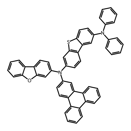 c1ccc(N(c2ccccc2)c2ccc3sc4cc(N(c5ccc6c(c5)oc5ccccc56)c5ccc6c7ccccc7c7ccccc7c6c5)ccc4c3c2)cc1